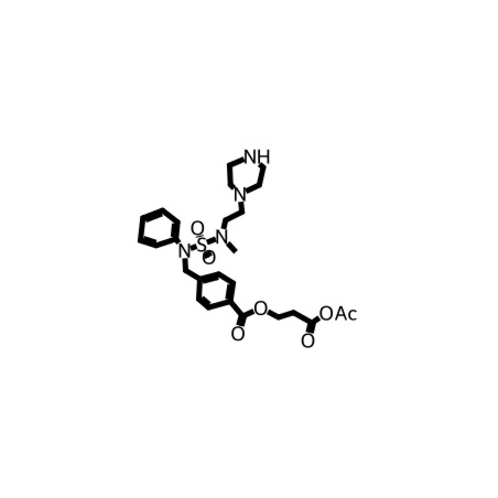 CC(=O)OC(=O)CCOC(=O)c1ccc(CN(c2ccccc2)S(=O)(=O)N(C)CCN2CCNCC2)cc1